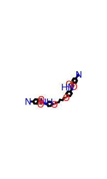 N#Cc1ccc(S(=O)(=O)NCc2ccc(OCCCCCOc3ccc(CNS(=O)(=O)c4ccc(C#N)cc4)cc3)cc2)cc1